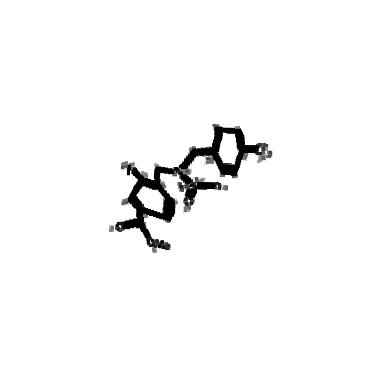 COC(=O)c1ccc(CN(Cc2ccc(C(F)(F)F)cc2)[SH](=O)=O)c(F)c1